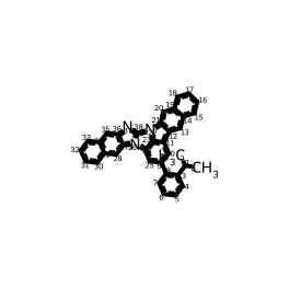 CC(C)c1ccccc1-c1cc2c3cc4ccccc4cc3n3c2c(c1)n1c2cc4ccccc4cc2nc13